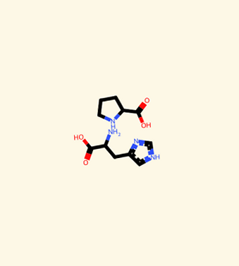 NC(Cc1c[nH]cn1)C(=O)O.O=C(O)C1CCCN1